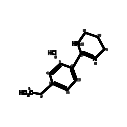 Cl.O=C(O)Cc1ccc(C2=NCCCN2)cc1